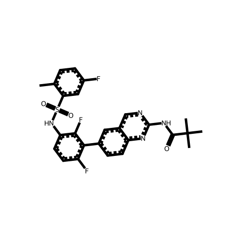 Cc1ccc(F)cc1S(=O)(=O)Nc1ccc(F)c(-c2ccc3nc(NC(=O)C(C)(C)C)ncc3c2)c1F